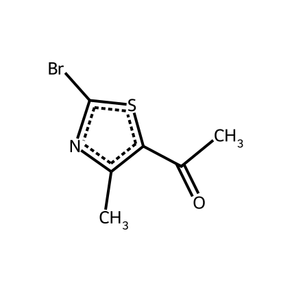 CC(=O)c1sc(Br)nc1C